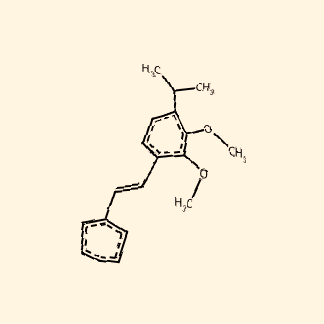 COc1c(C=Cc2ccccc2)ccc(C(C)C)c1OC